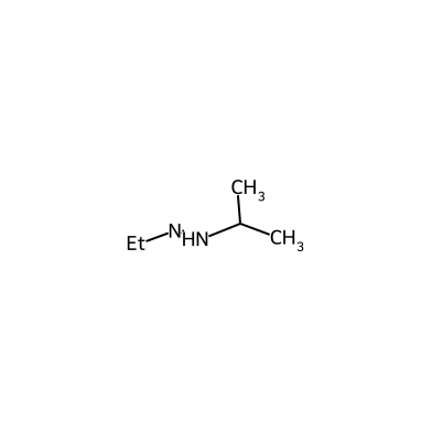 CC[N]NC(C)C